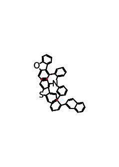 c1cc(-c2ccccc2-c2ccc3ccccc3c2)cc(N(c2ccccc2-c2cccc3oc4ccccc4c23)c2cccc3sc4ccccc4c23)c1